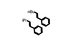 CC(C)C=Cc1ccccc1.CCCCC=Cc1ccccc1